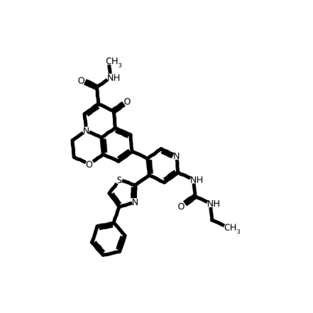 CCNC(=O)Nc1cc(-c2nc(-c3ccccc3)cs2)c(-c2cc3c4c(c2)c(=O)c(C(=O)NC)cn4CCO3)cn1